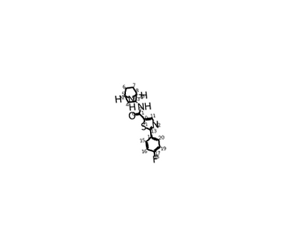 O=C(N[C@@H]1C[C@H]2CC[C@@H]1N2)c1cnc(-c2ccc(F)cc2)s1